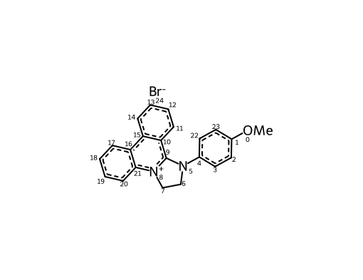 COc1ccc(N2CC[n+]3c2c2ccccc2c2ccccc23)cc1.[Br-]